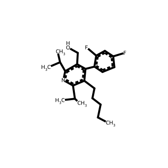 CCCCCc1c(C(C)C)nc(C(C)C)c(CO)c1-c1ccc(F)cc1F